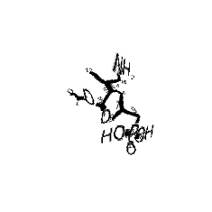 CCOC(=O)C(/C=C(\C)CP(=O)(O)O)C(C)CN